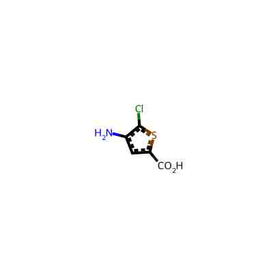 Nc1cc(C(=O)O)sc1Cl